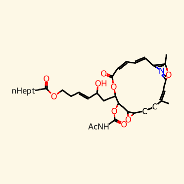 CCCCCCCC(=O)OCC/C=C/C(O)CC1OC(=O)/C=C\C=C\c2nc(oc2C)/C=C(/C)CCC2OC2C1OC(=O)NC(C)=O